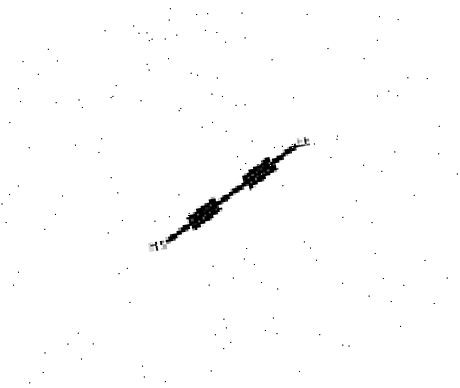 CCC#CC#CS